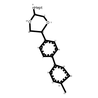 CCCCCCCC1COC(c2ccc(-c3ccc(C)cc3)cc2)CO1